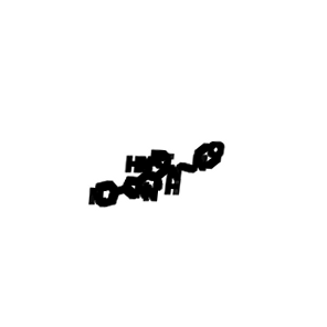 CC(C)Nc1c(C(=O)NCCN2CCOCC2)cnn2cc(-c3ccncc3)cc12